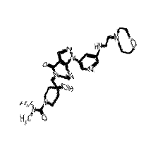 CN(C)C(=O)N1CCC(O)(Cn2cnc3c(cnn3-c3cncc(NCCN4CCOCC4)c3)c2=O)CC1